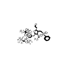 CO[C@@H]1C(CS(=O)(=O)c2ccccc2)[C@H](CC=O)O[C@@H]1C[C@@H](CO[Si](C)(C)C(C)(C)C)O[Si](C)(C)C(C)(C)C